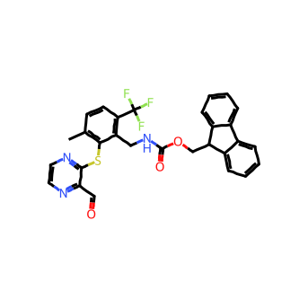 Cc1ccc(C(F)(F)F)c(CNC(=O)OCC2c3ccccc3-c3ccccc32)c1Sc1nccnc1C=O